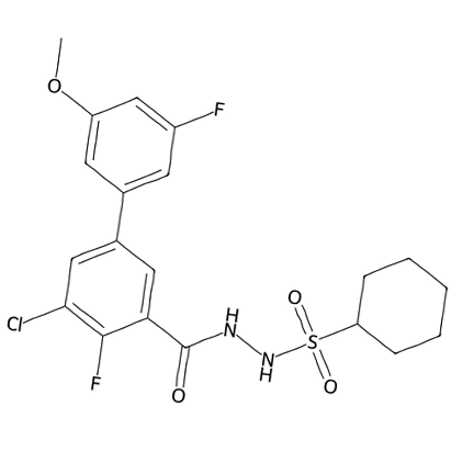 COc1cc(F)cc(-c2cc(Cl)c(F)c(C(=O)NNS(=O)(=O)C3CCCCC3)c2)c1